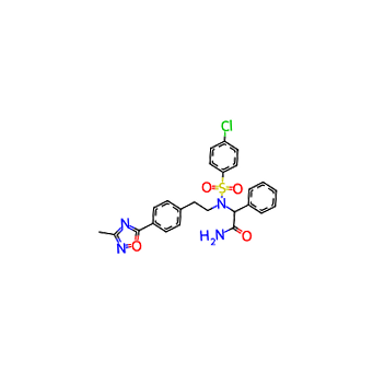 Cc1noc(-c2ccc(CCN(C(C(N)=O)c3ccccc3)S(=O)(=O)c3ccc(Cl)cc3)cc2)n1